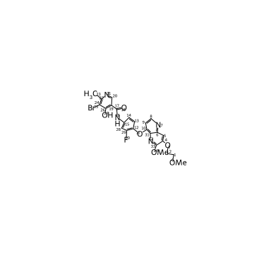 COCCOc1cc2nccc(Oc3ccc(NC(=O)c4cnc(C)c(Br)c4O)cc3F)c2nc1OC